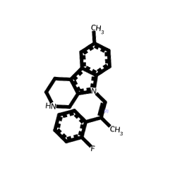 C/C(=C/n1c2c(c3cc(C)ccc31)CCNC2)c1ccccc1F